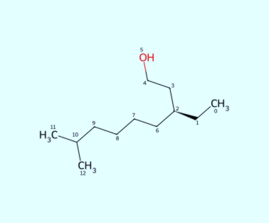 CC[C@H](CCO)CCCCC(C)C